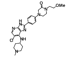 COCCN1CCN(c2ccc(-c3nc4c(NC5CCN(C)CC5)c(Cl)cnc4[nH]3)cc2)CC1=O